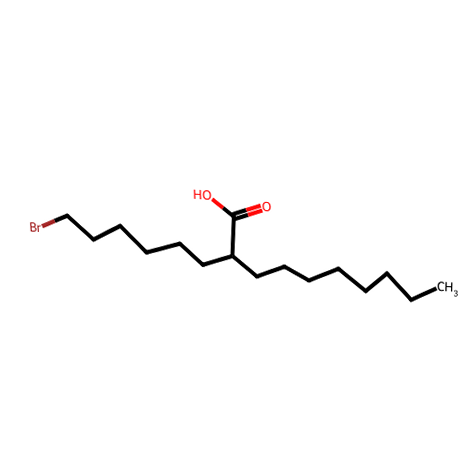 CCCCCCCCC(CCCCCCBr)C(=O)O